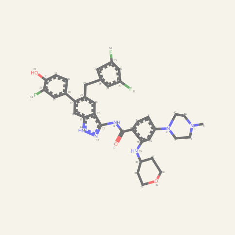 CN1CCN(c2ccc(C(=O)Nc3n[nH]c4cc(-c5ccc(O)c(F)c5)c(Cc5cc(F)cc(F)c5)cc34)c(NC3CCOCC3)c2)CC1